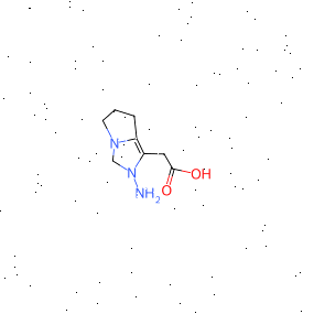 NN1CN2CCCC2=C1CC(=O)O